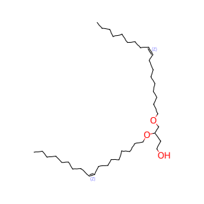 CCCCCCCC/C=C\CCCCCCCCOCC(CCO)OCCCCCCCC/C=C\CCCCCCCC